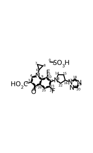 CS(=O)(=O)O.O=C(O)c1cn(C2CC2)c2c(F)c(N3CCC(n4cncn4)C3)c(F)cc2c1=O